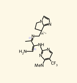 CNc1nc(NC(=C/N)/C(C)=N\C[C@@]2(C)CCn3ccnc32)ncc1C(F)(F)F